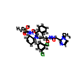 Cn1ccnc1CONC(=O)[C@@H]1c2ccccc2C(=O)N([C@H]2CCCC[C@@H]2NS(C)(=O)=O)[C@H]1c1ccc(Cl)cc1Cl